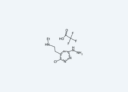 CCNCCc1cc(NN)nnc1Cl.O=C(O)C(F)(F)F